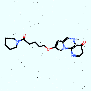 O=C1CC=NC2=C1NC=C1C=C(OCCCCC(=O)N3CCCCC3)CN12